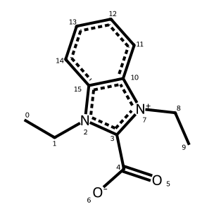 CCn1c(C(=O)[O-])[n+](CC)c2ccccc21